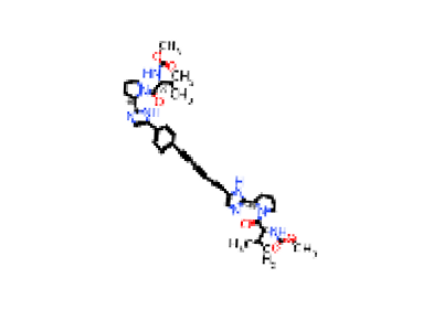 COC(=O)N[C@@H](C(=O)N1CCC[C@@H]1c1ncc(C#CC#CC#Cc2ccc(-c3cnc([C@H]4CCCN4C(=O)[C@H](NC(=O)OC)C(C)C)[nH]3)cc2)[nH]1)C(C)C